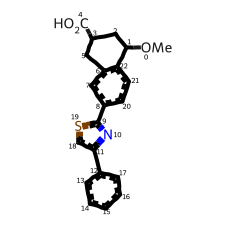 COC1CC(C(=O)O)Cc2cc(-c3nc(-c4ccccc4)cs3)ccc21